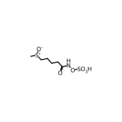 C[S+]([O-])CCCCC(=O)NOS(=O)(=O)O